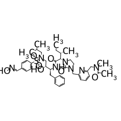 CC[C@H](C)[C@@H](C(=O)N[C@@H](Cc1ccccc1)[C@H](O)CN(CC(C)C)S(=O)(=O)c1ccc(C=NO)cc1)N1CCN(Cc2cccc(CN(C)C(C)=O)n2)C1=O